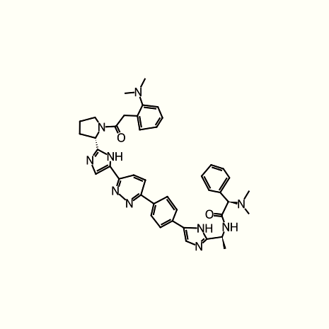 C[C@H](NC(=O)[C@@H](c1ccccc1)N(C)C)c1ncc(-c2ccc(-c3ccc(-c4cnc([C@@H]5CCCN5C(=O)Cc5ccccc5N(C)C)[nH]4)nn3)cc2)[nH]1